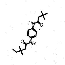 CCC(C)(C)CC(=O)Nc1ccc(NC(=O)CC(C)(C)C)cc1